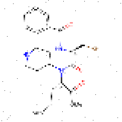 COC(=O)[C@H](CCSC)N(C(=O)[C@H](CS)NC(=O)c1ccccc1)C1CCNCC1